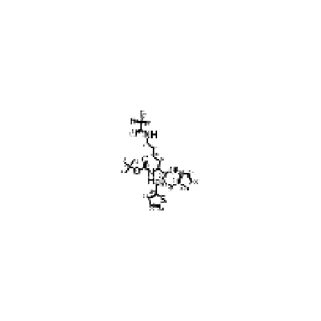 CC(C)(C)OC(=O)NC(CCCCNC(=O)C(F)(F)F)C(=O)N(Cc1cccs1)Cc1cccs1